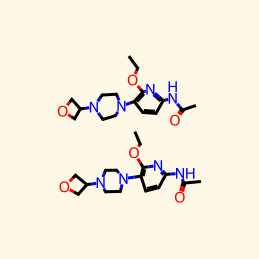 CCOc1nc(NC(C)=O)ccc1N1CCN(C2COC2)CC1.CCOc1nc(NC(C)=O)ccc1N1CCN(C2COC2)CC1